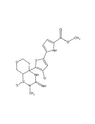 COC(=O)c1ccc(-c2cc(Cl)c(C34CCOCC3[S+]([O-])N(C)C(=N)N4)s2)[nH]1